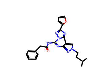 CC(C)CCn1cc2c(nc(NC(=O)Cc3ccccc3)n3nc(-c4ccco4)nc23)n1